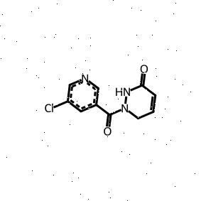 O=C1C=CCN(C(=O)c2cncc(Cl)c2)N1